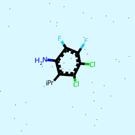 CC(C)c1c(N)c(F)c(F)c(Cl)c1Cl